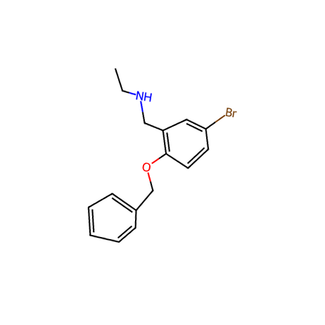 CCNCc1cc(Br)ccc1OCc1ccccc1